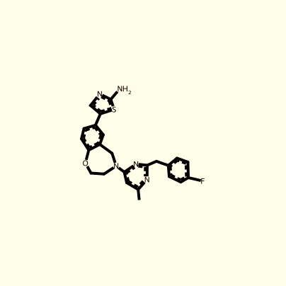 Cc1cc(N2CCOc3ccc(-c4cnc(N)s4)cc3C2)nc(Cc2ccc(F)cc2)n1